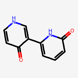 O=c1cccc(-c2c[nH]ccc2=O)[nH]1